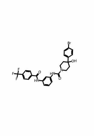 O=C(Nc1cccc(NC(=O)N2CCC(O)(c3ccc(Br)cc3)CC2)c1)c1ccc(C(F)(F)F)cc1